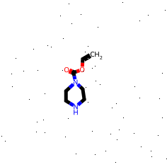 C=COC(=O)N1CCNCC1